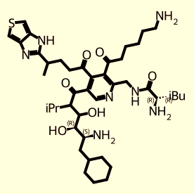 CC[C@@H](C)[C@@H](N)C(=O)NCc1ncc(C(=O)C(C(C)C)C(O)[C@H](O)[C@@H](N)CC2CCCCC2)c(C(=O)CCC(C)c2nc3cscc3[nH]2)c1C(=O)CCCCCN